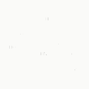 Cc1ccc(Nc2ccc(Cl)c(C)c2Cl)c(CC(=O)O)c1